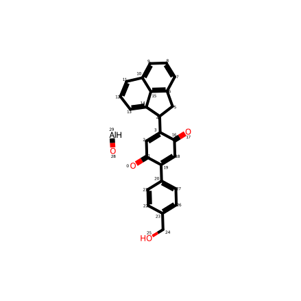 O=C1C=C(C2Cc3cccc4cccc2c34)C(=O)C=C1c1ccc(CO)cc1.[O]=[AlH]